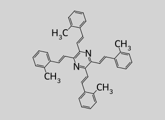 Cc1ccccc1C=Cc1nc(C=Cc2ccccc2C)c(C=Cc2ccccc2C)nc1C=Cc1ccccc1C